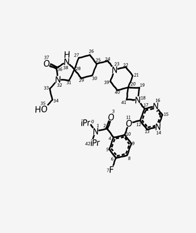 CC(C)N(C(=O)c1cc(F)ccc1Oc1cncnc1N1CC2(CCN(CC3CCC4(CC3)CN(CCO)C(=O)N4)CC2)C1)C(C)C